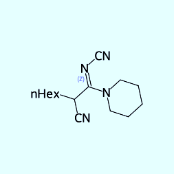 CCCCCCC(C#N)/C(=N/C#N)N1CCCCC1